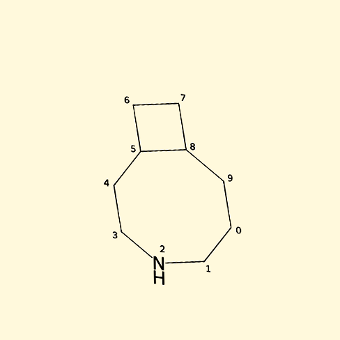 C1CNCCC2CCC2C1